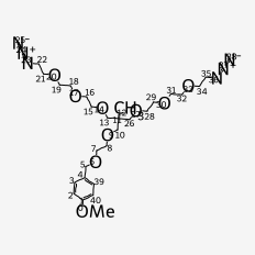 COc1ccc(COCCOCC(C)(COCCOCCOCCN=[N+]=[N-])COCCOCCOCCN=[N+]=[N-])cc1